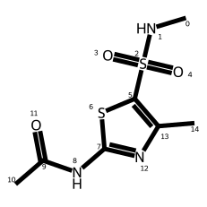 CNS(=O)(=O)c1sc(NC(C)=O)nc1C